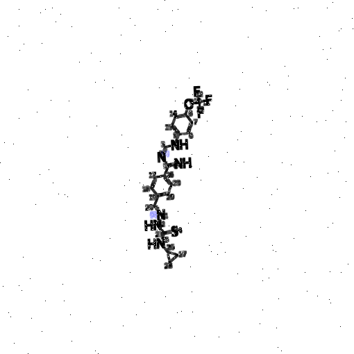 N=C(/N=C\Nc1ccc(OC(F)(F)F)cc1)c1ccc(/C=N/NC(=S)NC2CC2)cc1